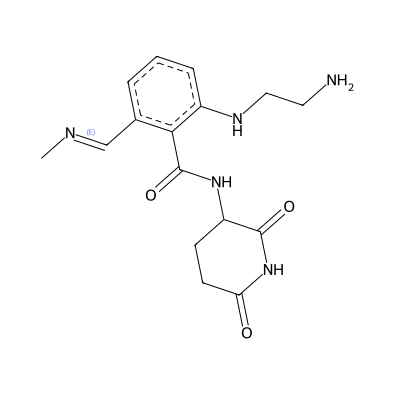 C/N=C/c1cccc(NCCN)c1C(=O)NC1CCC(=O)NC1=O